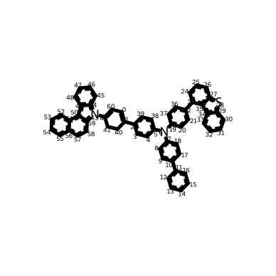 C1=C(c2ccc(N(c3ccc(-c4ccccc4)cc3)c3ccc(-c4cccc5sc6ccccc6c45)cc3)cc2)CCC(n2c3ccccc3c3c4ccccc4ccc32)=C1